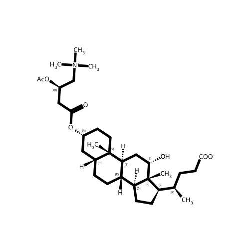 CC(=O)O[C@H](CC(=O)O[C@@H]1CC[C@@]2(C)[C@H](CC[C@@H]3[C@@H]2C[C@H](O)[C@]2(C)[C@@H]([C@H](C)CCC(=O)[O-])CC[C@@H]32)C1)C[N+](C)(C)C